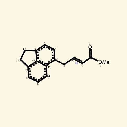 COC(=O)/C=C/Cc1ccc2c3c(cccc13)CC2